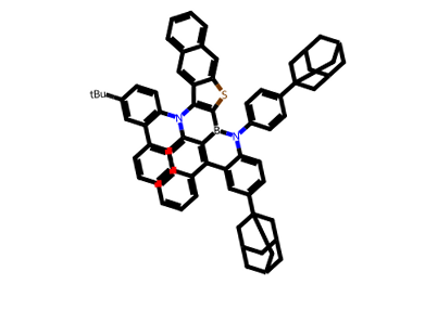 CC(C)(C)c1ccc(N2c3cc4ccccc4c4c3B(c3sc5cc6ccccc6cc5c32)N(c2ccc(C35CC6CC(CC(C6)C3)C5)cc2)c2ccc(C35CC6CC(CC(C6)C3)C5)cc2-4)c(-c2ccccc2)c1